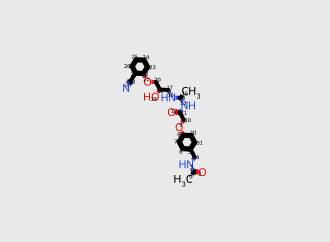 CC(=O)NCc1ccc(OCC(=O)NC(C)NCC(O)COc2ccccc2C#N)cc1